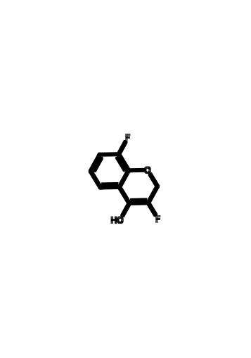 OC1=C(F)COc2c(F)cccc21